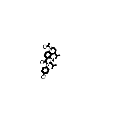 CC(=O)N1CCC(C(C)C)c2c1ccc1c(=O)n(-c3ccc(Cl)cc3)c(C(C)C)nc21